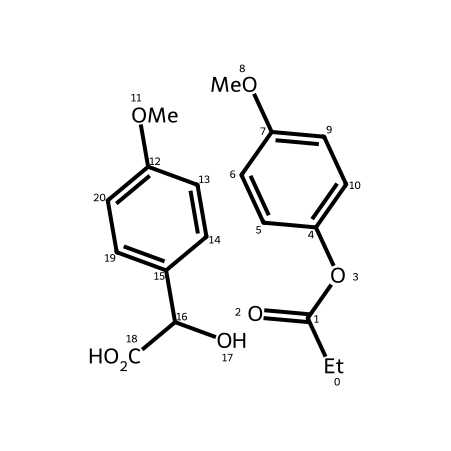 CCC(=O)Oc1ccc(OC)cc1.COc1ccc(C(O)C(=O)O)cc1